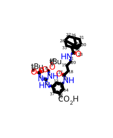 CC(C)(C)OC(=O)/N=C(\NC(=O)OC(C)(C)C)Nc1cc(NC(=O)CCCNC(=O)C23CC4CC(CC(C4)C2)C3)cc(C(=O)O)c1